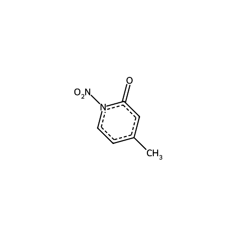 Cc1ccn([N+](=O)[O-])c(=O)c1